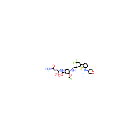 COC(=O)C(CCC(N)=O)NC(=O)c1ccc(NCC#Cc2sc3c(NC4CCOCC4)cccc3c2CC(F)(F)F)c(OC(F)F)c1